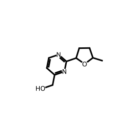 CC1CCC(c2nccc(CO)n2)O1